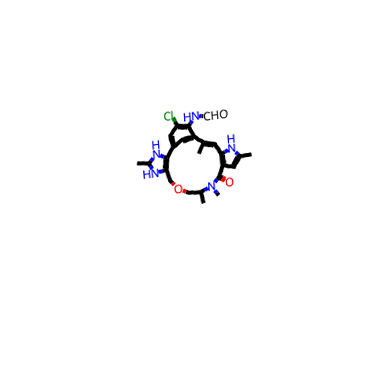 C/C1=C\c2[nH]c(C)cc2C(=O)N(C)C(C)COCC2=C(NC(C)N2)c2cc(Cl)c(NC=O)c1c2